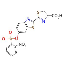 O=C(O)C1CSC(c2nc3ccc(OS(=O)(=O)c4ccccc4[N+](=O)[O-])cc3s2)=N1